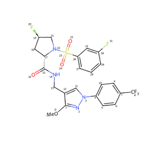 COc1nn(-c2ccc(C(F)(F)F)cc2)cc1CNC(=O)[C@@H]1C[C@@H](F)CN1S(=O)(=O)c1cccc(F)c1